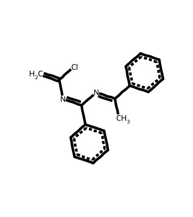 C=C(Cl)/N=C(\N=C(/C)c1ccccc1)c1ccccc1